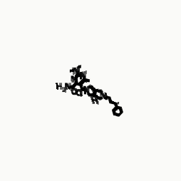 Cc1nc(N(C)C)nc(C(N)=O)c1C(=O)N1CC2CN(CC[CH]c3ccccc3)C[C@@H]2C1